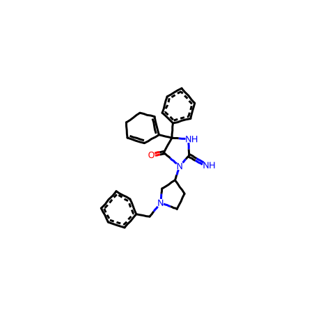 N=C1NC(C2=CCCC=C2)(c2ccccc2)C(=O)N1C1CCN(Cc2ccccc2)C1